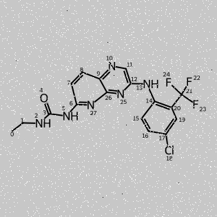 CCNC(=O)Nc1ccc2ncc(Nc3ccc(Cl)cc3C(F)(F)F)nc2n1